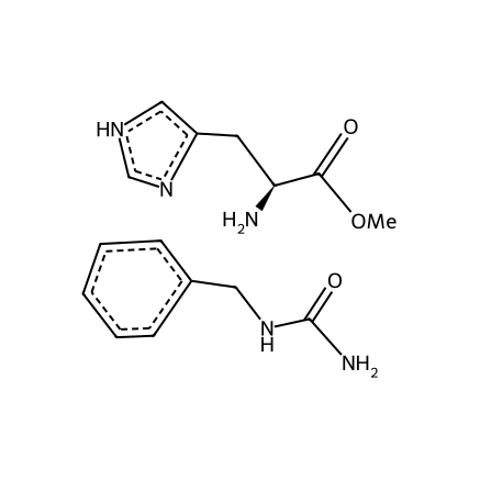 COC(=O)[C@@H](N)Cc1c[nH]cn1.NC(=O)NCc1ccccc1